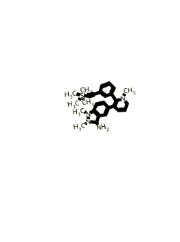 CN1CC=CC(c2ccc3c(c2)C(N)N(C)N3C)=C1c1cccc(C#C[SH](C)(C)(C)C)c1